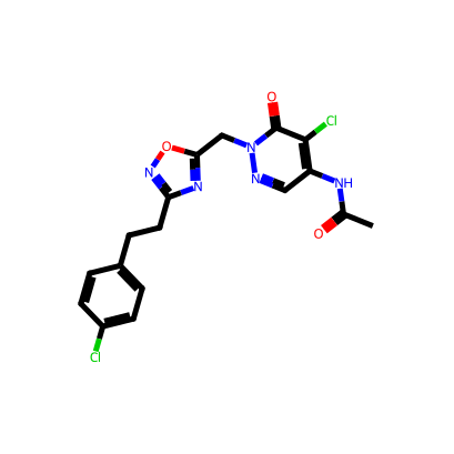 CC(=O)Nc1cnn(Cc2nc(CCc3ccc(Cl)cc3)no2)c(=O)c1Cl